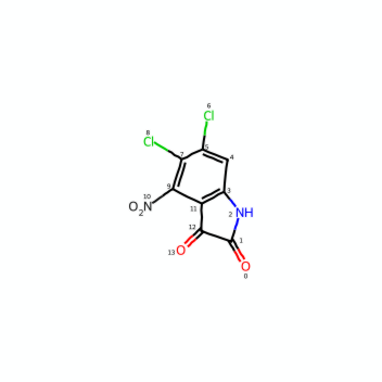 O=C1Nc2cc(Cl)c(Cl)c([N+](=O)[O-])c2C1=O